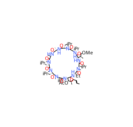 C/C=C/C[C@@H](C)[C@@H](OC(C)=O)[C@H]1C(=O)N[C@@H](CC)C(=O)N(C)[C@H](C(C)C)C(=O)N[C@@H]([C@H](C)COC)C(=O)N[C@@H](C(C)C)C(=O)N(C)[C@@H](CC(C)C)C(=O)N[C@@H](C)C(=O)N[C@H](C)C(=O)N(C)[C@@H](CC(C)C)C(=O)N(C)[C@@H](CC(C)C)C(=O)N(C)[C@@H](C(C)C)C(=O)N1C